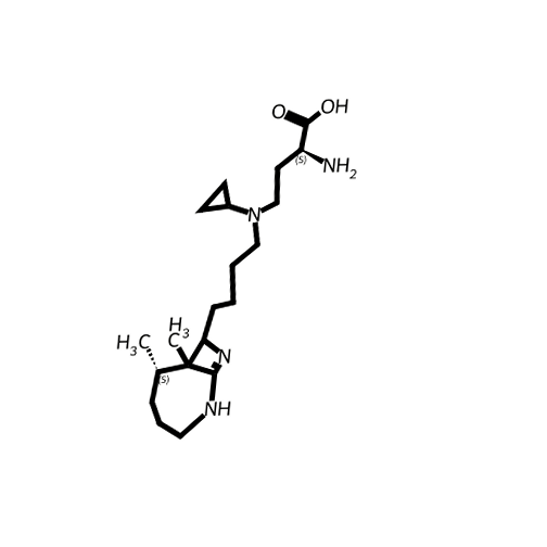 C[C@H]1CCCNC2=NC(CCCCN(CC[C@H](N)C(=O)O)C3CC3)C21C